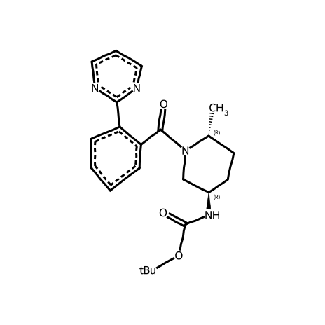 C[C@@H]1CC[C@@H](NC(=O)OC(C)(C)C)CN1C(=O)c1ccccc1-c1ncccn1